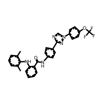 Cc1cccc(C)c1Nc1ccccc1C(=O)Nc1ccc(-c2ncn(-c3ccc(OC(F)(F)F)cc3)n2)cc1